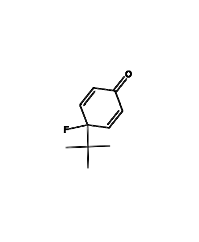 CC(C)(C)C1(F)C=CC(=O)C=C1